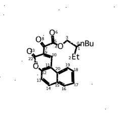 CCCCC(CC)COC(=O)C(=O)c1cc2c(ccc3ccccc32)oc1=O